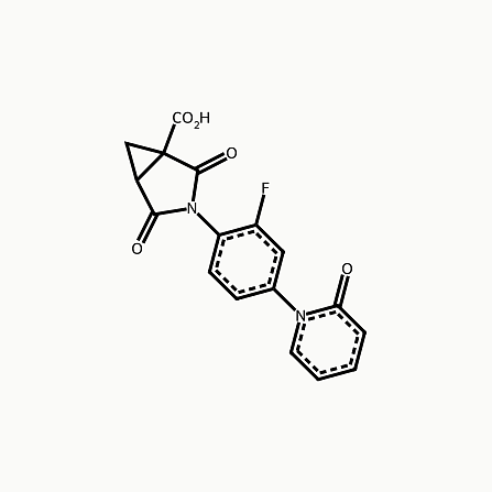 O=C1C2CC2(C(=O)O)C(=O)N1c1ccc(-n2ccccc2=O)cc1F